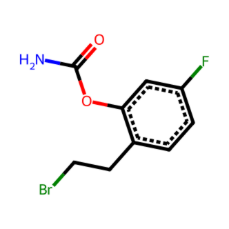 NC(=O)Oc1cc(F)ccc1CCBr